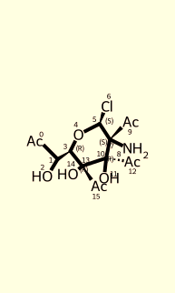 CC(=O)C(O)[C@H]1O[C@@H](Cl)[C@@](N)(C(C)=O)[C@](O)(C(C)=O)[C@@]1(O)C(C)=O